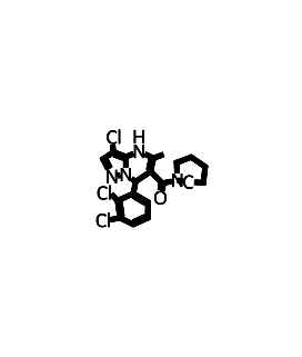 CC1=C(C(=O)N2CCCCC2)C(c2cccc(Cl)c2Cl)n2ncc(Cl)c2N1